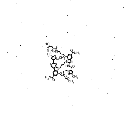 CCn1nc(C)cc1C(=O)Nc1nc2cc(C(N)=O)cc(OCCCNC(=O)[C@@H](N)CC(=O)O)c2n1C/C=C/Cn1c2nc(-c3cc(C)nn3CC)ncc2c2cc(C(N)=O)cc(OCCCOC)c21